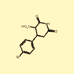 O=C1CC(c2ccc(Br)cc2)C(C(=O)O)C(=O)N1